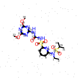 CCN(c1cccc(S(=O)(=O)NC(=O)Nc2nc(OC)nc(OC)n2)n1)S(=O)(=O)C(C)C